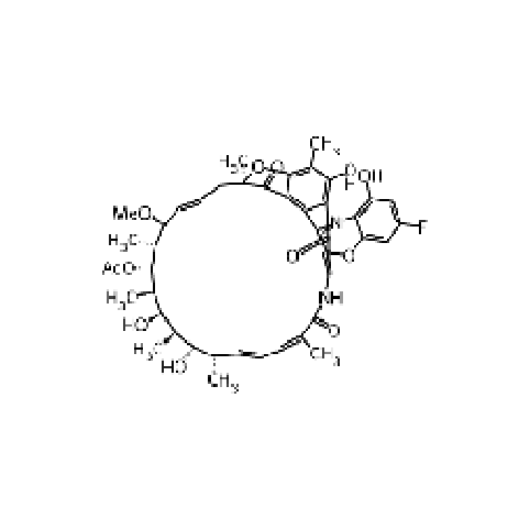 CO[C@H]1/C=C/C[C@@]2(C)Oc3c(C)c(O)c4c(=O)c(c5oc6cc(F)cc(O)c6nc-5c4c3C2=O)NC(=O)/C(C)=C\C=C\[C@H](C)[C@H](O)[C@@H](C)[C@@H](O)[C@@H](C)[C@H](OC(C)=O)[C@@H]1C